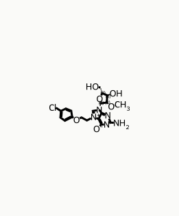 CO[C@@H]1[C@H](O)[C@@H](CO)O[C@H]1n1c[n+](CCOc2ccc(Cl)cc2)c2c([O-])nc(N)nc21